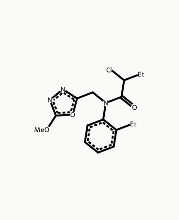 CCc1ccccc1N(Cc1nnc(OC)o1)C(=O)C(Cl)CC